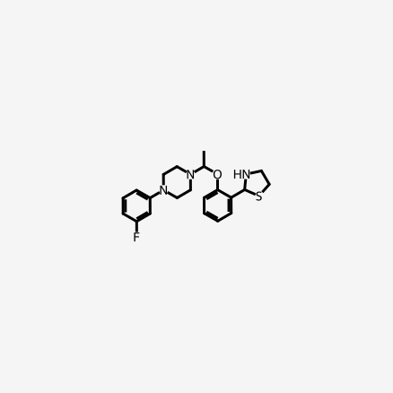 CC(Oc1ccccc1C1NCCS1)N1CCN(c2cccc(F)c2)CC1